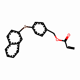 C=CC(=O)OCc1ccc(Sc2ccc3ccccc3c2)cc1